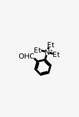 CC[N+](CC)(CC)c1ccccc1C=O